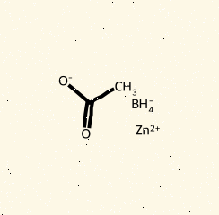 CC(=O)[O-].[BH4-].[Zn+2]